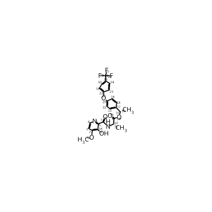 COc1ccnc(C(=O)N[C@@H](C)C(=O)O[C@@H](C)c2ccc(Oc3ccc(C(F)(F)F)cc3)cc2)c1O